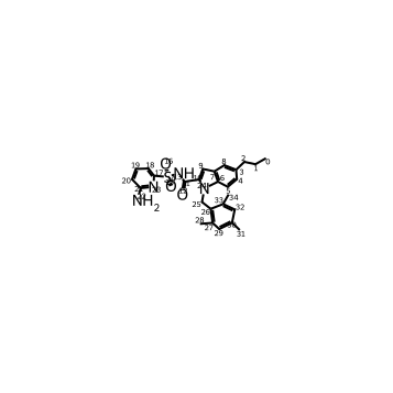 CCCc1ccc2c(c1)cc(C(=O)NS(=O)(=O)c1cccc(N)n1)n2Cc1c(C)cc(C)cc1C